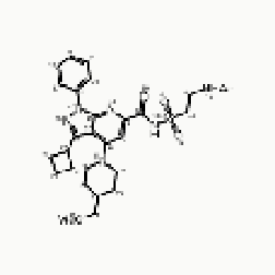 COCC1CCN(c2cc(C(=O)NS(=O)(=O)CCNC(C)=O)nc3c2c(C2CCC2)nn3-c2ccccc2)CC1